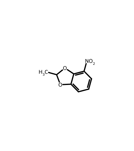 CC1Oc2cccc([N+](=O)[O-])c2O1